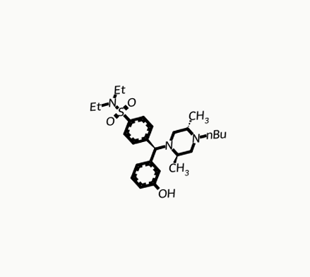 CCCCN1C[C@@H](C)N([C@H](c2ccc(S(=O)(=O)N(CC)CC)cc2)c2cccc(O)c2)C[C@@H]1C